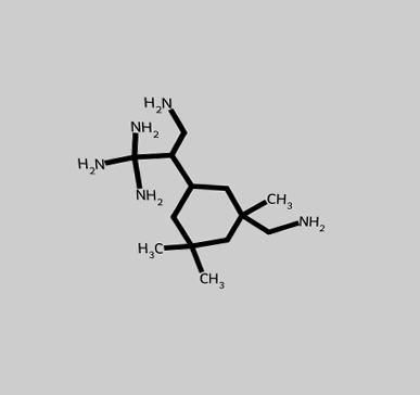 CC1(C)CC(C(CN)C(N)(N)N)CC(C)(CN)C1